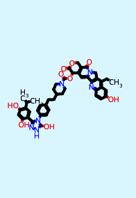 CCc1c2c(nc3ccc(O)cc13)-c1cc3c(c(=O)n1C2)COC(=O)C3OC(=O)N1CCC(CCc2ccc(N3C(c4cc(C(C)C)c(O)cc4O)=NNC3O)cc2)CC1